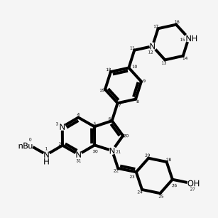 CCCCNc1ncc2c(-c3ccc(CN4CCNCC4)cc3)cn(C=C3CCC(O)CC3)c2n1